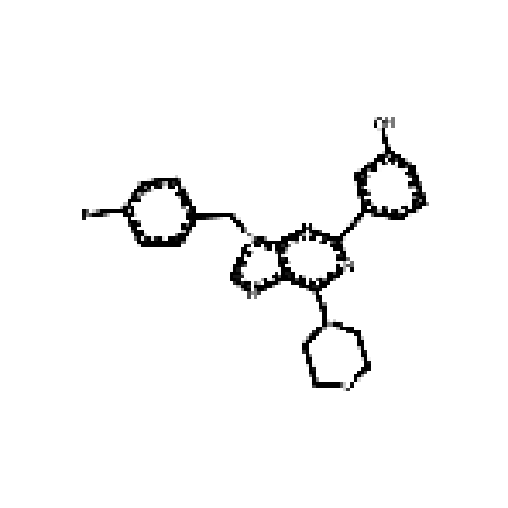 Oc1cccc(-c2nc(N3CCOCC3)c3ncn(Cc4ccc(F)cc4)c3n2)c1